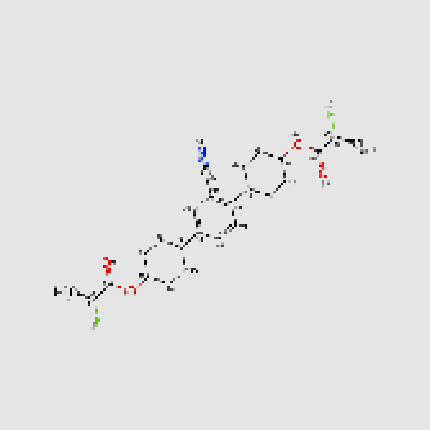 C[C@H](F)C(=O)OC1CCC(c2ccc(C3CCC(OC(=O)[C@H](C)F)CC3)c(C#N)c2)CC1